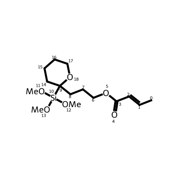 CC=CC(=O)OCCCC1([Si](OC)(OC)OC)CCCCO1